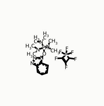 CN(C)[PH](On1nnc2ccccc21)(N(C)C)N(C)C.FC1=C(F)P(F)(F)(F)C1F